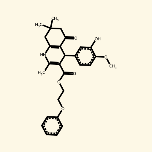 COc1ccc(C2C(C(=O)OCCOc3ccccc3)=C(C)NC3=C2C(=O)CC(C)(C)C3)cc1O